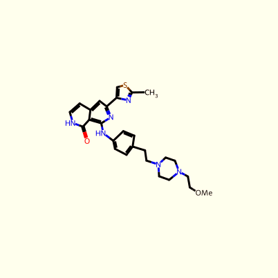 COCCN1CCN(CCc2ccc(Nc3nc(-c4csc(C)n4)cc4cc[nH]c(=O)c34)cc2)CC1